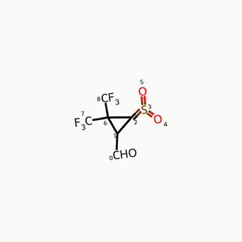 O=CC1C(=S(=O)=O)C1(C(F)(F)F)C(F)(F)F